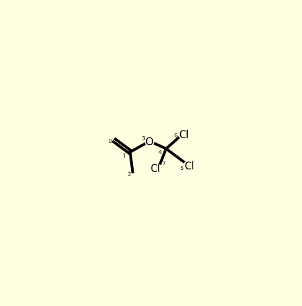 C=C(C)OC(Cl)(Cl)Cl